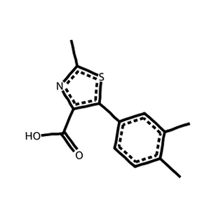 Cc1nc(C(=O)O)c(-c2ccc(C)c(C)c2)s1